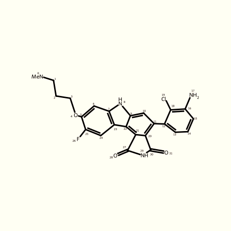 CNCCCOc1cc2[nH]c3cc(-c4cccc(N)c4Cl)c4c(c3c2cc1F)C(=O)NC4=O